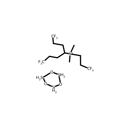 C[N+](C)(CCC(F)(F)F)C(CCC(F)(F)F)CCC(F)(F)F.O1[SiH2]O[SiH2]O[SiH2]1